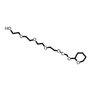 OCCOCCOCCOCCOCCOC1CCCCO1